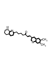 Cc1cc2cc(/C=C/C(=O)CCCCc3ccc4c(n3)NCCC4)cnc2cc1C